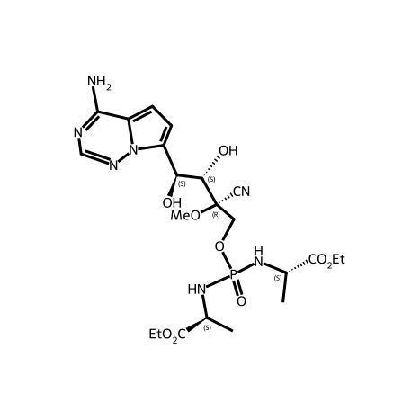 CCOC(=O)[C@H](C)NP(=O)(N[C@@H](C)C(=O)OCC)OC[C@@](C#N)(OC)[C@@H](O)[C@@H](O)c1ccc2c(N)ncnn12